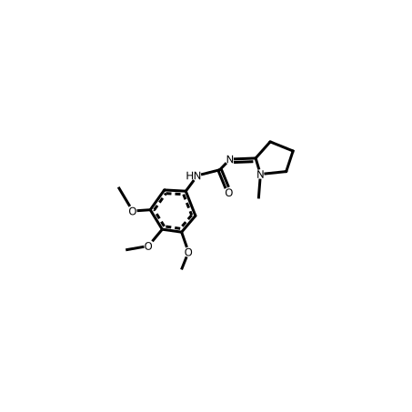 COc1cc(NC(=O)/N=C2/CCCN2C)cc(OC)c1OC